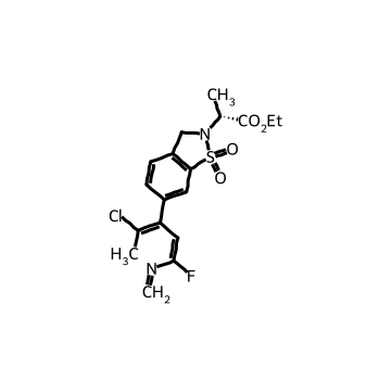 C=N/C(F)=C\C(=C(/C)Cl)c1ccc2c(c1)S(=O)(=O)N([C@H](C)C(=O)OCC)C2